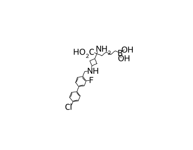 NC(CCCCB(O)O)(C(=O)O)C1CC(NCc2ccc(-c3ccc(Cl)cc3)cc2F)C1